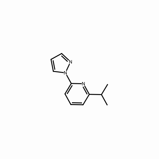 CC(C)c1cccc(-n2cccn2)n1